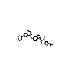 CC(C)(C)c1cc(NC(=O)n2ccc3cc(Oc4ncnc5c4CN(C4CCOCC4)C5)ccc32)no1